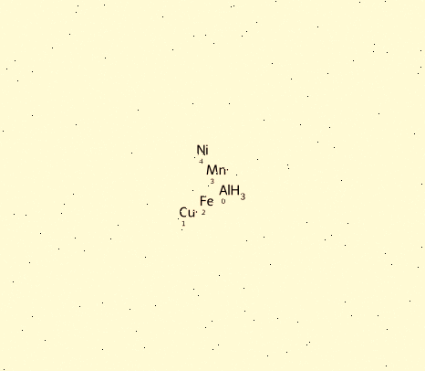 [AlH3].[Cu].[Fe].[Mn].[Ni]